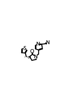 N#Cc1cc(CN2CC[C@H]([CH]c3ccsc3)C2=O)ccn1